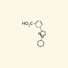 O=C(O)C1=CC=CC(c2ccn(-c3ccccc3)n2)C1